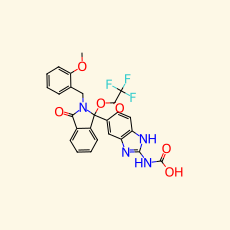 COc1ccccc1CN1C(=O)c2ccccc2C1(OC(=O)C(F)(F)F)c1ccc2[nH]c(NC(=O)O)nc2c1